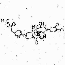 COC(=O)Cc1ccc(N2CCN(C(=O)c3cnc4c(n3)C(C)(C)CN4c3ccc(Cl)c(Cl)c3)C(C)(C)C2)nc1